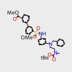 COC(=O)c1cccc(-c2ccc(OC)c(S(=O)(=O)Nc3cccc(N(CCN(C)C(=O)OC(C)(C)C)Cc4ccccc4)c3)c2)c1